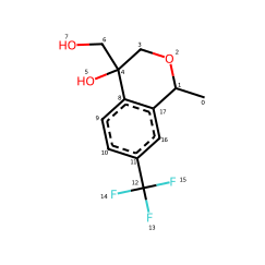 CC1OCC(O)(CO)c2ccc(C(F)(F)F)cc21